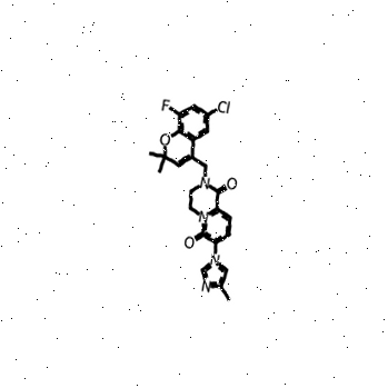 Cc1cn(-c2ccc3n(c2=O)CCN(CC2=CC(C)(C)Oc4c(F)cc(Cl)cc42)C3=O)cn1